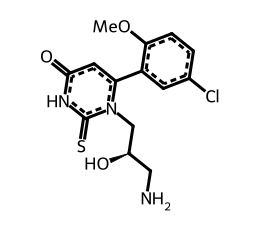 COc1ccc(Cl)cc1-c1cc(=O)[nH]c(=S)n1C[C@H](O)CN